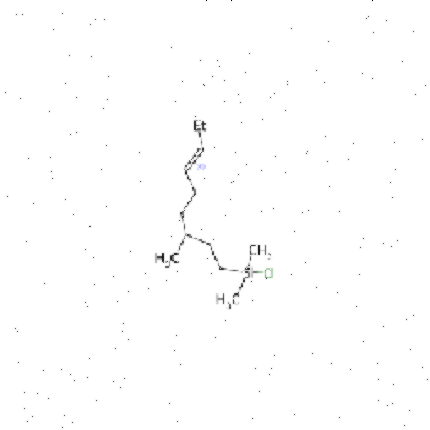 CC/C=C/CCC(C)CC[Si](C)(C)Cl